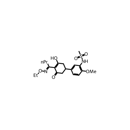 CCCC(=NOCC)C1=C(O)CC(c2ccc(OC)c(NS(C)(=O)=O)c2)CC1=O